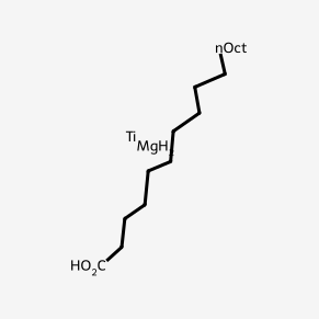 CCCCCCCCCCCCCCCCCC(=O)O.[MgH2].[Ti]